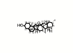 C[C@@H]1CN[C@H]2[C@@H](I)[C@@]3(CC[C@H]4[C@@H]5CC=C6C[C@@H](O)CC[C@]6(C)[C@H]5CC45OC53C)O[C@@H]2C1